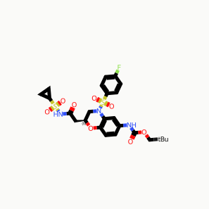 CC(C)(C)COC(=O)Nc1ccc2c(c1)N(S(=O)(=O)c1ccc(F)cc1)C[C@H](CC(=O)NS(=O)(=O)C1CC1)O2